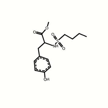 CCCCS(=O)(=O)NC(Cc1ccc(O)cc1)C(=O)OC